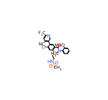 COc1ccccc1N(C)C(=O)c1cc(-c2cnc(C(F)(F)F)cc2C#N)c(Cl)cc1OCCNS(C)(=O)=O